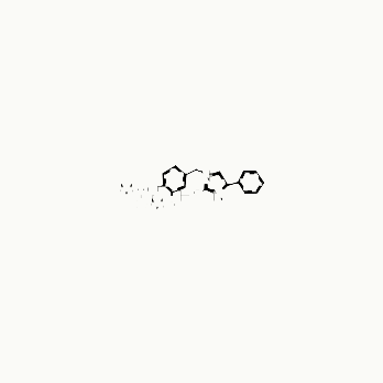 COc1ccc(Cn2cc(-c3ccccc3)nc2S)cc1OC